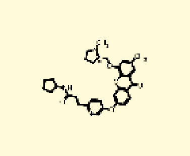 Cc1cc(OC[C@H]2CCCN2C)c2oc3cc(Oc4ccc(CCC(=O)NC5CCCC5)nc4)ccc3c(=O)c2c1